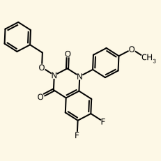 COc1ccc(-n2c(=O)n(OCc3ccccc3)c(=O)c3cc(F)c(F)cc32)cc1